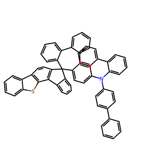 c1ccc(-c2ccc(N(c3ccc4c(c3)-c3ccccc3-c3ccccc3C43c4ccccc4-c4c3ccc3c4sc4ccccc43)c3ccccc3-c3ccccc3)cc2)cc1